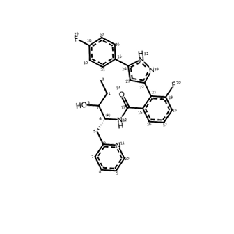 CCC(O)[C@@H](Cc1ccccn1)NC(=O)c1cccc(F)c1-c1cc(-c2ccc(F)cc2)[nH]n1